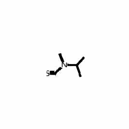 CC(C)N(C)[C]=S